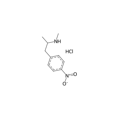 CNC(C)Cc1ccc([N+](=O)[O-])cc1.Cl